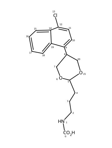 O=C(O)NCCCC1OCC(c2ccc(Cl)c3ccccc23)CO1